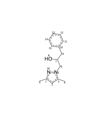 Cc1cc(C)n(CC(O)Cc2ccccc2)n1